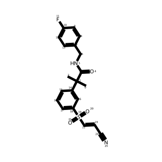 CC(C)(C(=O)NCc1ccc(F)cc1)c1cccc(S(=O)(=O)C=CC#N)c1